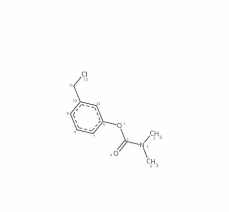 CN(C)C(=O)Oc1cccc(CCl)c1